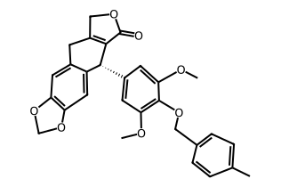 COc1cc([C@H]2C3=C(COC3=O)Cc3cc4c(cc32)OCO4)cc(OC)c1OCc1ccc(C)cc1